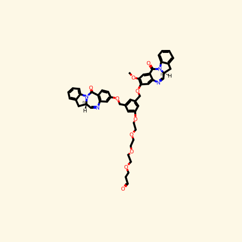 COc1cc2c(cc1OCc1cc(COc3ccc4c(c3)N=C[C@@H]3Cc5ccccc5N3C4=O)cc(OCCOCCOCCOCCC=O)c1)N=C[C@@H]1Cc3ccccc3N1C2=O